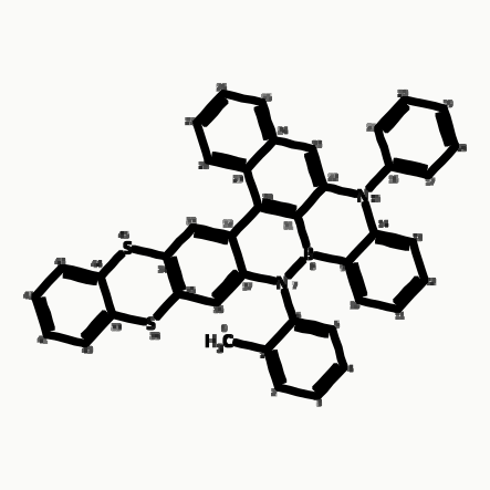 Cc1ccccc1N1B2c3ccccc3N(c3ccccc3)c3cc4ccccc4c(c32)-c2cc3c(cc21)Sc1ccccc1S3